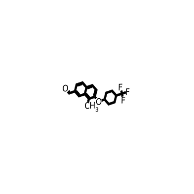 Cc1c(OC2CCC(C(F)(F)F)CC2)ccc2ccc(C=O)cc12